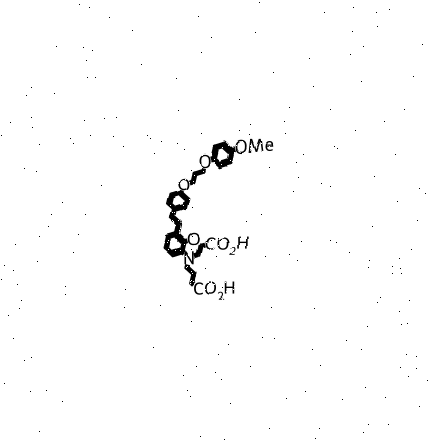 COc1ccc(OCCCOc2ccc(C=Cc3cccc4c3OC(C(=O)O)CN4CCCC(=O)O)cc2)cc1